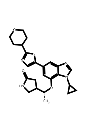 C[C@@H](Oc1cc(-c2cnc(C3CCOCC3)s2)cc2ncn(C3CC3)c12)C1CNC(=O)C1